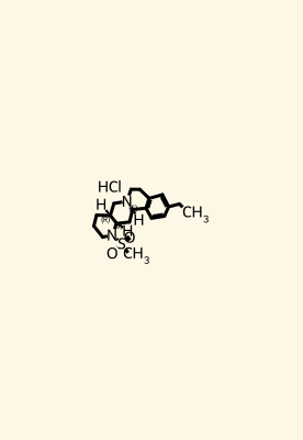 CCc1ccc2c(c1)CCN1C[C@H]3CCCN(S(C)(=O)=O)[C@H]3C[C@@H]21.Cl